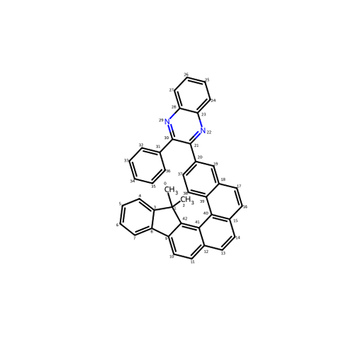 CC1(C)c2ccccc2-c2ccc3ccc4ccc5cc(-c6nc7ccccc7nc6-c6ccccc6)ccc5c4c3c21